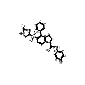 O=C1NCC(S(=O)(=O)c2ccc3c(c2-c2ccccc2)CCN3C(=S)Nc2ccc(F)cc2)N1